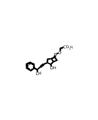 O=C(O)CON=C1CC2C1CC(C#CC(O)c1ccccc1)C2O